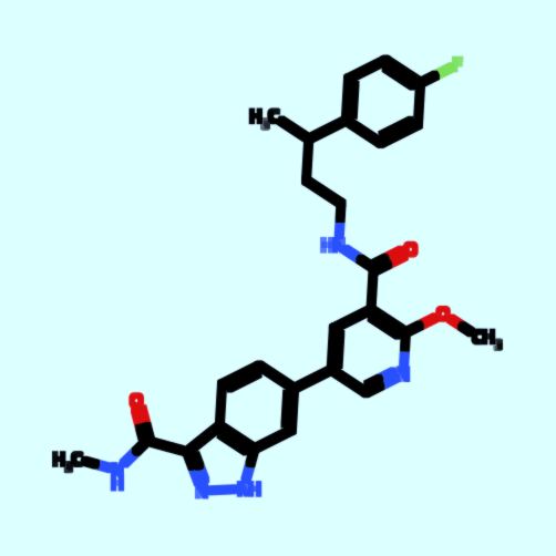 CNC(=O)c1n[nH]c2cc(-c3cnc(OC)c(C(=O)NCCC(C)c4ccc(F)cc4)c3)ccc12